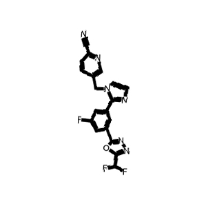 N#Cc1ccc(Cn2ccnc2-c2cc(F)cc(-c3nnc(C(F)F)o3)c2)cn1